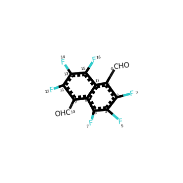 O=Cc1c(F)c(F)c(F)c2c(C=O)c(F)c(F)c(F)c12